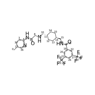 Cc1ccc(NC(=O)CNC[C@H]2CC[C@H](CNC(=O)c3cc(C(F)(F)F)cc(C(F)(F)F)c3)CC2)nc1